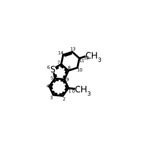 Cc1cccc2sc3c(c12)CC(C)C=C3